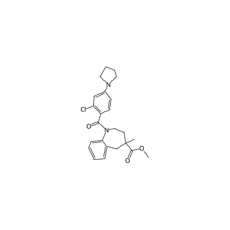 COC(=O)C1(C)CCN(C(=O)c2ccc(N3CCCC3)cc2Cl)c2ccccc2C1